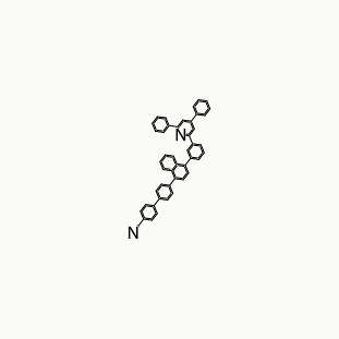 N#Cc1ccc(-c2ccc(-c3ccc(-c4cccc(-c5cc(-c6ccccc6)cc(-c6ccccc6)n5)c4)c4ccccc34)cc2)cc1